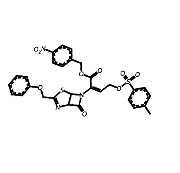 Cc1ccc(S(=O)(=O)OCC=C(C(=O)OCc2ccc([N+](=O)[O-])cc2)N2C(=O)C3N=C(COc4ccccc4)SC32)cc1